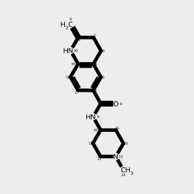 C=C1CCc2cc(C(=O)NC3CCN(C)CC3)ccc2N1